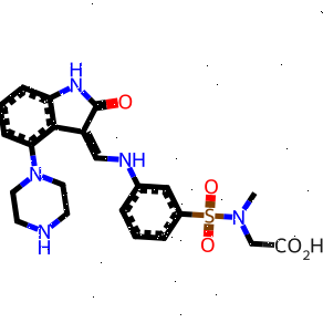 CN(CC(=O)O)S(=O)(=O)c1cccc(N/C=C2\C(=O)Nc3cccc(N4CCNCC4)c32)c1